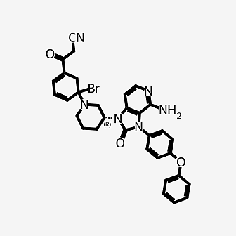 N#CCC(=O)C1=CC=CC(Br)(N2CCC[C@@H](n3c(=O)n(-c4ccc(Oc5ccccc5)cc4)c4c(N)nccc43)C2)C1